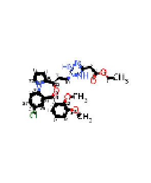 CCOC(=O)CC1=NNN(CC[C@H]2O[C@H](c3cccc(OC)c3OC)c3cc(Cl)ccc3-n3cccc32)N1